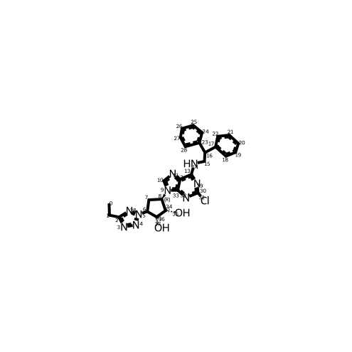 CCc1nnn(C2C[C@@H](n3cnc4c(NCC(c5ccccc5)c5ccccc5)nc(Cl)nc43)[C@H](O)[C@@H]2O)n1